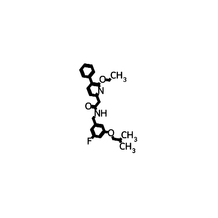 CCOc1nc(CC(=O)NCc2cc(F)cc(OCC(C)C)c2)ccc1-c1ccccc1